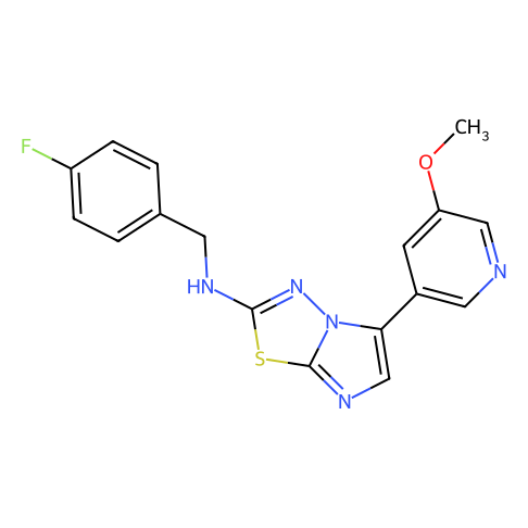 COc1cncc(-c2cnc3sc(NCc4ccc(F)cc4)nn23)c1